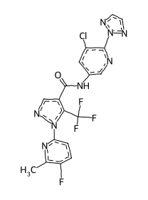 Cc1nc(-n2ncc(C(=O)Nc3cnc(-n4nccn4)c(Cl)c3)c2C(F)(F)F)ccc1F